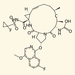 COc1cnc(O[C@@H]2C[C@H]3C(=O)N[C@]4(C(=O)NS(=O)(=O)C5(F)CC5)C[C@H]4/C=C\CC[C@@H](C)C[C@@H](C)[C@H](NC(=O)O)C(=O)N3C2)c2cc(F)ccc12